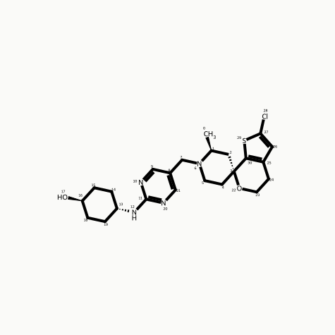 C[C@H]1C[C@@]2(CCN1Cc1cnc(N[C@H]3CC[C@H](O)CC3)nc1)OCCc1cc(Cl)sc12